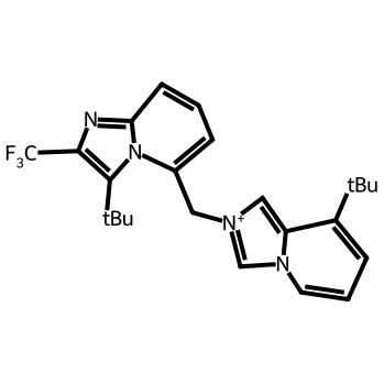 CC(C)(C)c1cccn2c[n+](Cc3cccc4nc(C(F)(F)F)c(C(C)(C)C)n34)cc12